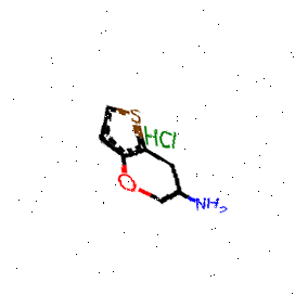 Cl.NC1COc2ccsc2C1